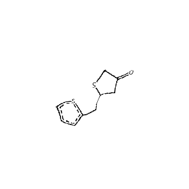 O=C1CSC(Cc2cccs2)C1